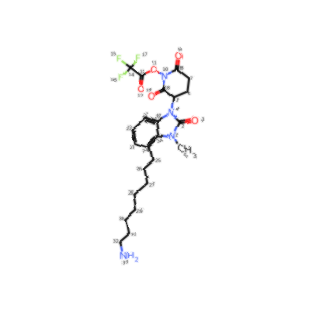 Cn1c(=O)n(C2CCC(=O)N(OC(=O)C(F)(F)F)C2=O)c2cccc(CCCCCCCCN)c21